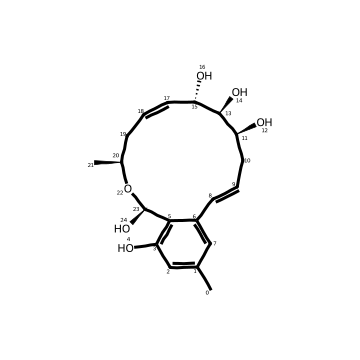 Cc1cc(O)c2c(c1)/C=C/C[C@H](O)[C@H](O)[C@@H](O)/C=C\C[C@H](C)O[C@@H]2O